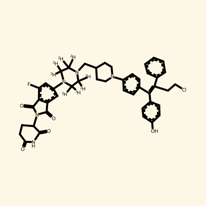 [2H]C1([2H])N(CC2CCN(c3ccc(C(=C(CCCl)c4ccccc4)c4ccc(O)cc4)cc3)CC2)C([2H])([2H])C([2H])([2H])N(c2cc(F)c3c(c2)C(=O)N(C2CCC(=O)NC2=O)C3=O)C1([2H])[2H]